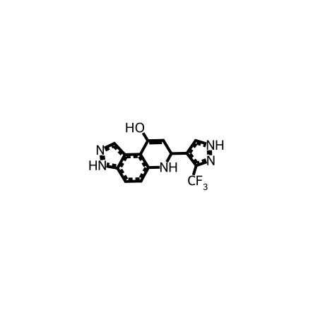 OC1=CC(c2c[nH]nc2C(F)(F)F)Nc2ccc3[nH]ncc3c21